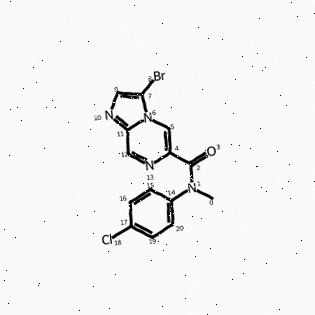 CN(C(=O)c1cn2c(Br)cnc2cn1)c1ccc(Cl)cc1